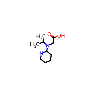 CC(C)N(CC(=O)O)C1CCCC[N]1